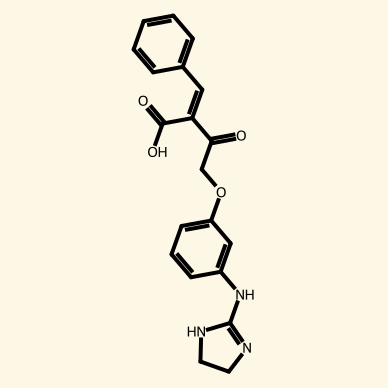 O=C(O)C(=Cc1ccccc1)C(=O)COc1cccc(NC2=NCCN2)c1